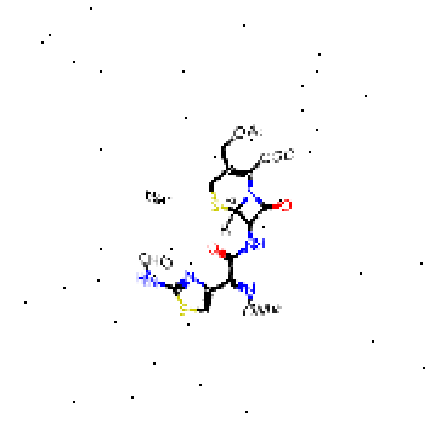 CON=C(C(=O)NC1C(=O)N2C(C(=O)[O-])=C(COC(C)=O)CS[C@@H]12)c1csc(NC=O)n1.[Na+]